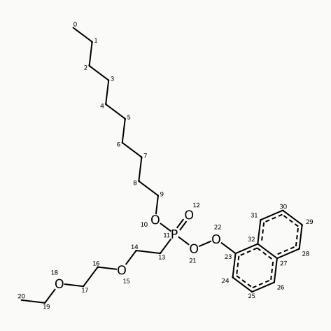 CCCCCCCCCCOP(=O)(CCOCCOCC)OOc1cccc2ccccc12